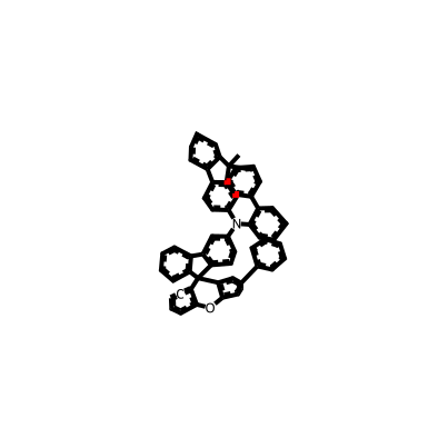 CC1(C)c2ccccc2-c2ccc(N(c3ccc4c(c3)-c3ccccc3C43c4ccccc4Oc4ccc(-c5ccccc5)cc43)c3ccccc3-c3ccccc3)cc21